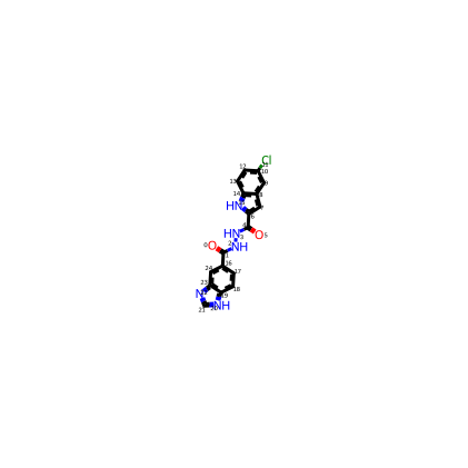 O=C(NNC(=O)c1cc2cc(Cl)ccc2[nH]1)c1ccc2[nH]cnc2c1